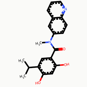 CC(C)c1cc(C(=O)N(C)c2ccc3ncccc3c2)c(O)cc1O